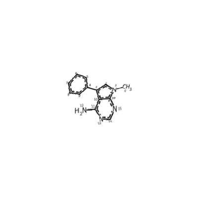 Cn1cc(-c2ccccc2)c2c(N)ncnc21